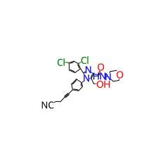 N#CCCC#Cc1ccc(-n2c(-c3ccc(Cl)cc3Cl)nc(C(=O)NN3CCOCC3)c2CO)cc1